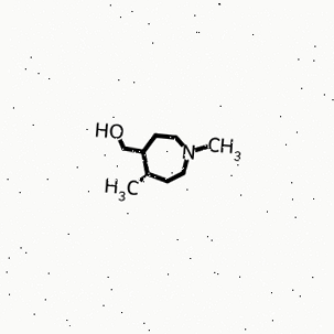 C[C@@H]1CCN(C)CCC1CO